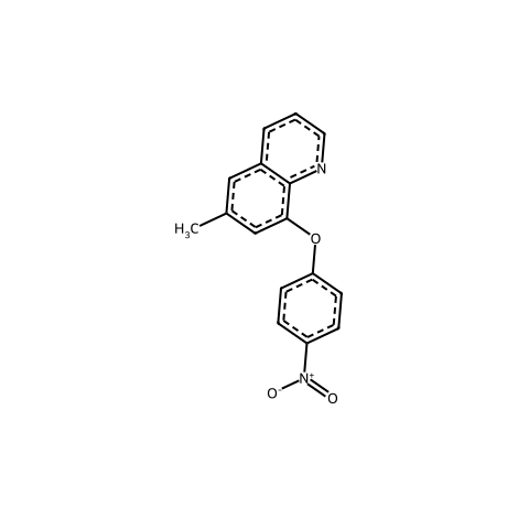 Cc1cc(Oc2ccc([N+](=O)[O-])cc2)c2ncccc2c1